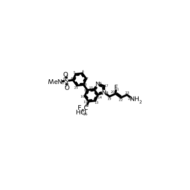 CNS(=O)(=O)c1cccc(-c2cc(C(F)(F)F)cc3c2ncn3CC(F)=CCN)c1.Cl